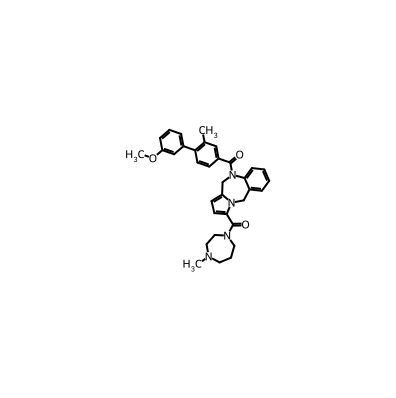 COc1cccc(-c2ccc(C(=O)N3Cc4ccc(C(=O)N5CCCN(C)CC5)n4Cc4ccccc43)cc2C)c1